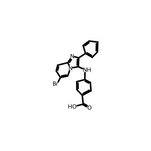 O=C(O)c1ccc(Nc2c(-c3ccccc3)nc3ccc(Br)cn23)cc1